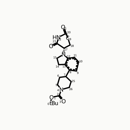 CC(C)(C)OC(=O)N1CCC(c2cccc3c2CCN3[C@H]2CCC(=O)NC2=O)CC1